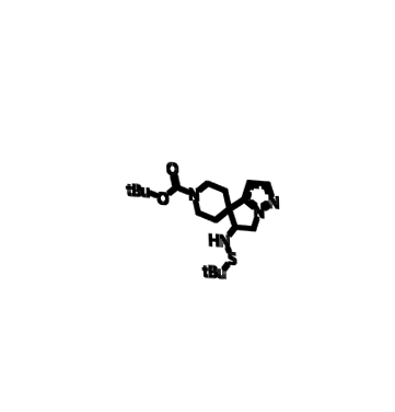 CC(C)(C)OC(=O)N1CCC2(CC1)c1ccnn1CC2NSC(C)(C)C